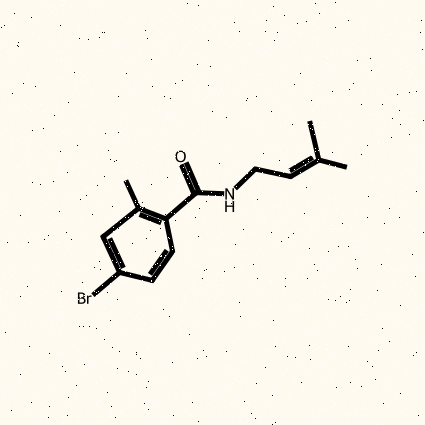 CC(C)=CCNC(=O)c1ccc(Br)cc1C